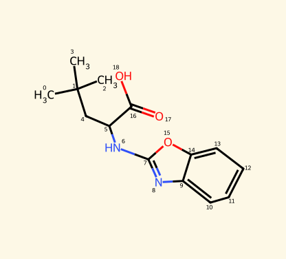 CC(C)(C)CC(Nc1nc2ccccc2o1)C(=O)O